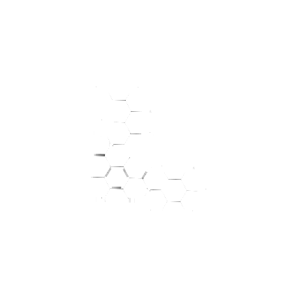 CC(=O)OCC(OC(C)=O)C(OC(C)=O)C(OC(C)=O)C(CN(C)C(=O)c1c(I)c(N)c(I)c(C(=O)N(C)CC(OC(C)=O)C(OC(C)=O)C(OC(C)=O)C(COC(C)=O)OC(C)=O)c1I)OC(C)=O